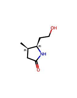 C[C@@H]1CC(=O)N[C@@H]1CCO